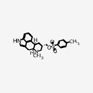 Cc1ccc(S(=O)(=O)OC[C@H]2C[C@@H]3c4cccc5[nH]cc(c45)C[C@H]3N(C)C2)cc1